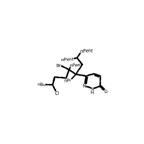 CCCCCC(CCCCC)CC(CCC)(c1ccc(=O)[nH]n1)C(Br)(CCCCC)CCC(Cl)CCCC